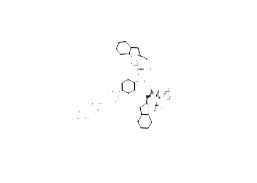 COc1cc(N2CCC(N3CCN(C)CC3)CC2)ccc1Nc1ncc2cc3ccccc3n2n1.C[S+]([O-])c1ncc2cc3ccccc3n2n1